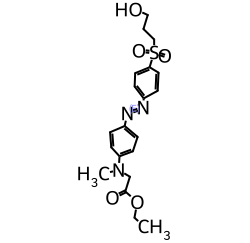 CCOC(=O)CN(C)c1ccc(/N=N/c2ccc(S(=O)(=O)CCCO)cc2)cc1